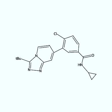 CC(C)(C)c1nnc2cc(-c3cc(C(=O)NC4CC4)ccc3Cl)ccn12